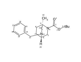 CC(C)(C)OC(=O)N1C[C@@H]2CC[C@]1(C)CN2Cc1ccccc1